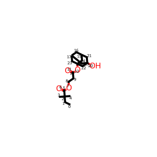 CCC(C)(C)C(=O)OCCC(=O)OC12CC3CC(CC(O)(C3)C1)C2